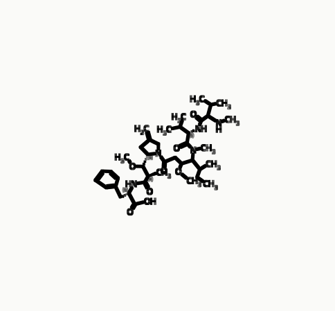 C=C1C[C@@H](C(OC)[C@@H](C)C(=O)N[C@@H](Cc2ccccc2)C(=O)O)N(C(=O)CC(OC)C(C(C)CC)N(C)C(=O)[C@@H](NC(=O)C(NC)C(C)C)C(C)C)C1